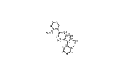 COc1ccccc1C(=O)Nc1[nH]c(N=O)c(-c2ccccc2C)c1C#N